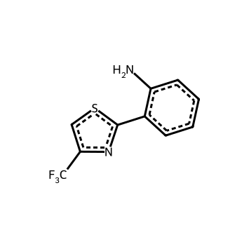 Nc1ccccc1-c1nc(C(F)(F)F)cs1